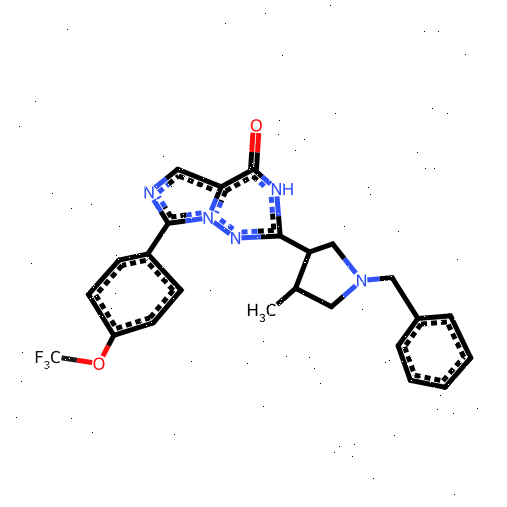 CC1CN(Cc2ccccc2)CC1c1nn2c(-c3ccc(OC(F)(F)F)cc3)ncc2c(=O)[nH]1